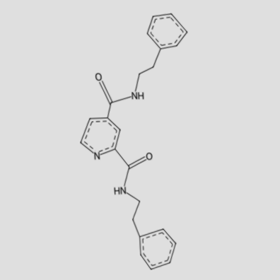 O=C(NCCc1ccccc1)c1ccnc(C(=O)NCCc2ccccc2)c1